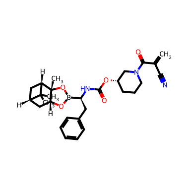 C=C(C#N)C(=O)N1CCC[C@H](OC(=O)N[C@@H](Cc2ccccc2)B2O[C@@H]3C[C@@H]4C[C@@H](C4(C)C)[C@]3(C)O2)C1